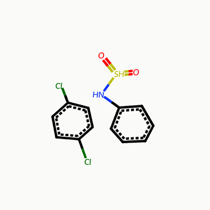 Clc1ccc(Cl)cc1.O=[SH](=O)Nc1ccccc1